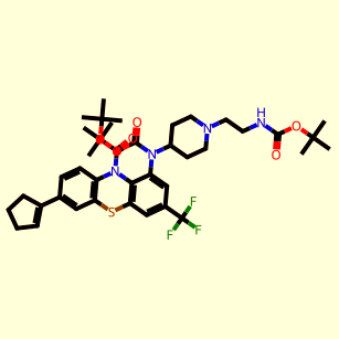 CC(C)(C)OC(=O)NCCN1CCC(N(C(=O)OC(C)(C)C)c2cc(C(F)(F)F)cc3c2N(C(=O)OC(C)(C)C)c2ccc(C4=CCCC4)cc2S3)CC1